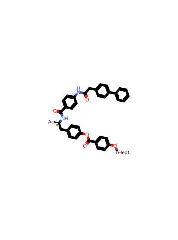 CCCCCCCOc1ccc(C(=O)Oc2ccc(C[C@H](NC(=O)c3ccc(NC(=O)Cc4ccc(-c5ccccc5)cc4)cc3)C(C)=O)cc2)cc1